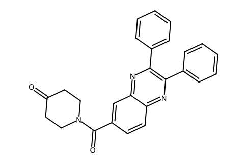 O=C1CCN(C(=O)c2ccc3nc(-c4ccccc4)c(-c4ccccc4)nc3c2)CC1